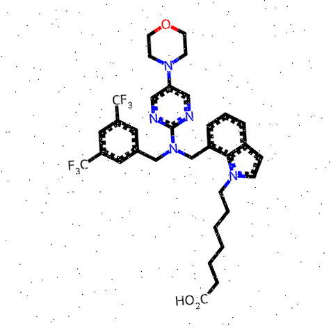 O=C(O)CCCCCCn1ccc2cccc(CN(Cc3cc(C(F)(F)F)cc(C(F)(F)F)c3)c3ncc(N4CCOCC4)cn3)c21